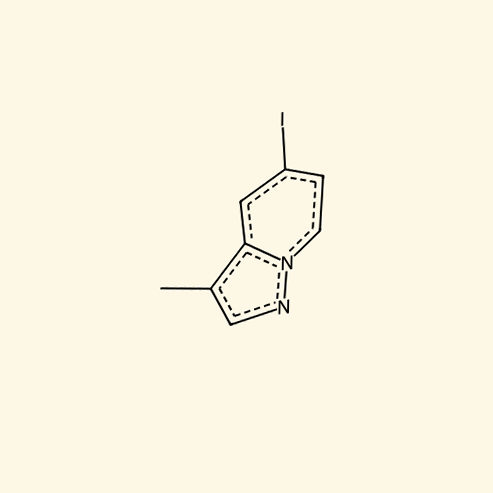 Cc1cnn2ccc(I)cc12